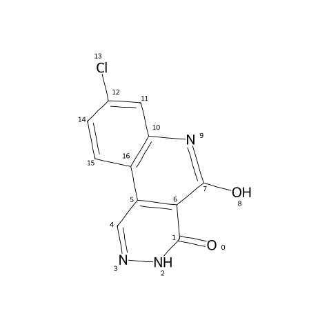 O=c1[nH]ncc2c1c(O)nc1cc(Cl)ccc12